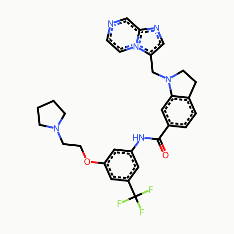 O=C(Nc1cc(OCCN2CCCC2)cc(C(F)(F)F)c1)c1ccc2c(c1)N(Cc1cnc3cnccn13)CC2